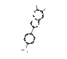 Cc1cc2nc(-c3ccc(N(C)C)cc3)cn2nc1I